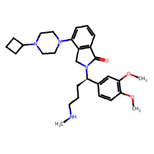 CNCCC[C@H](c1ccc(OC)c(OC)c1)N1Cc2c(cccc2N2CCN(C3CCC3)CC2)C1=O